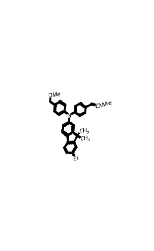 CCc1ccc2c(c1)C(C)(C)c1cc(N(c3ccc(COC)cc3)c3ccc(COC)cc3)ccc1-2